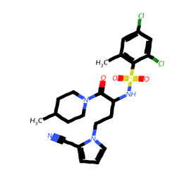 Cc1cc(Cl)cc(Cl)c1S(=O)(=O)NC(CCn1cccc1C#N)C(=O)N1CCC(C)CC1